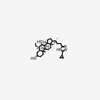 CC[C@@H]1C2C[C@H](O)CCC2(C)[C@H]2CCC3(C)C([C@H](C)CCc4nnc(C5CC5)[nH]4)CC[C@H]3[C@@H]2[C@@H]1O